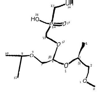 COC[C@H](C)O[C@@H](COC(C)C)OCP(=O)(O)CO